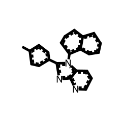 Cc1ccc(-c2nc3ncccc3n2-c2cccc3ccccc23)cc1